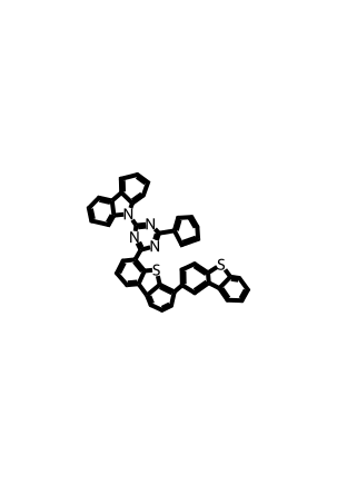 c1ccc(-c2nc(-c3cccc4c3sc3c(-c5ccc6sc7ccccc7c6c5)cccc34)nc(-n3c4ccccc4c4ccccc43)n2)cc1